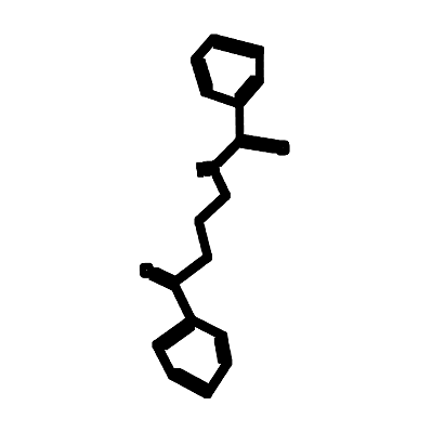 O=C(CCCNC(=O)c1ccccc1)c1ccccc1